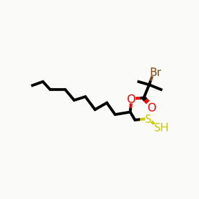 CCCCCCCCCC(CSS)OC(=O)C(C)(C)Br